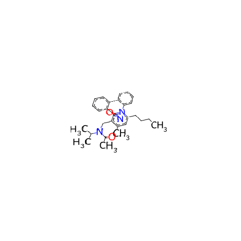 CCCCc1cc(C)c(CN(C(C)=O)C(C)C)c(=O)n1-c1ccccc1-c1ccccc1C#N